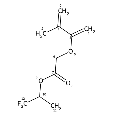 C=C(C)C(=C)OCC(=O)OC(C)C(F)(F)F